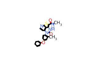 CNC(=O)c1sc2nccc3c2c1NC(=O)N3c1ccc(OC2=CCCC=C2)cc1C